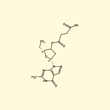 CC[C@H]1O[C@@H](n2ncc3c(=O)[nH]c(C)nc32)CC1OC(=O)CCC(=O)O